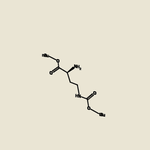 CCCCOC(=O)[C@@H](N)CCNC(=O)OC(C)(C)C